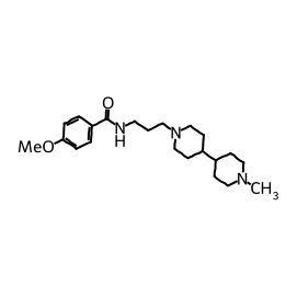 COc1ccc(C(=O)NCCCN2CCC(C3CCN(C)CC3)CC2)cc1